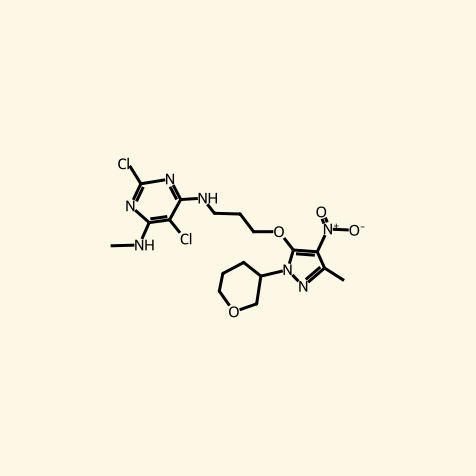 CNc1nc(Cl)nc(NCCCOc2c([N+](=O)[O-])c(C)nn2C2CCCOC2)c1Cl